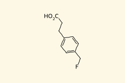 O=C(O)CCc1ccc(CF)cc1